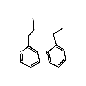 CCCc1ccccn1.CCc1ccccn1